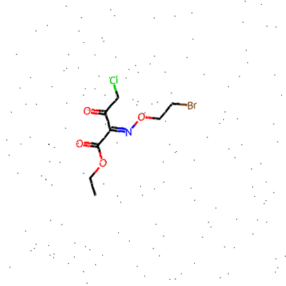 CCOC(=O)C(=NOCCBr)C(=O)CCl